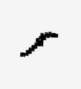 CC(C)CCOCCOCCNC(=O)CC12CCC(CSCC(C)(C)C)(C1)C2